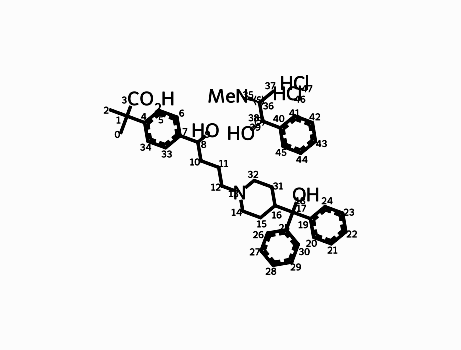 CC(C)(C(=O)O)c1ccc(C(O)CCCN2CCC(C(O)(c3ccccc3)c3ccccc3)CC2)cc1.CN[C@@H](C)[C@@H](O)c1ccccc1.Cl.Cl